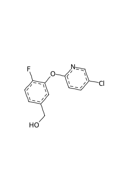 OCc1ccc(F)c(Oc2ccc(Cl)cn2)c1